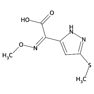 CON=C(C(=O)O)c1cc(SC)n[nH]1